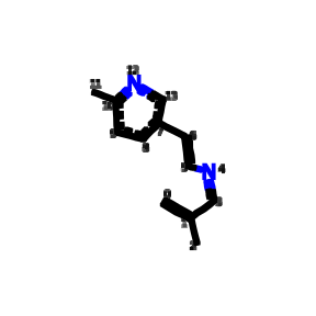 C=C(C)/C=N\C=C\c1ccc(C)nc1